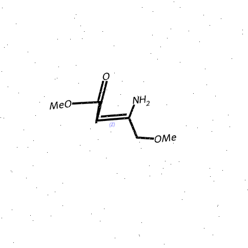 COC/C(N)=C/C(=O)OC